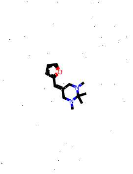 CN1CC(=Cc2ccco2)CN(C)C1(C)C